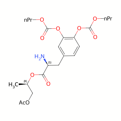 CCCOC(=O)Oc1ccc(C[C@H](N)C(=O)O[C@H](C)COC(C)=O)cc1OC(=O)OCCC